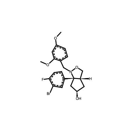 COc1ccc(CN2OC[C@@H]3C[C@@H](O)C[C@@]32c2ccc(F)c(Br)c2)c(OC)c1